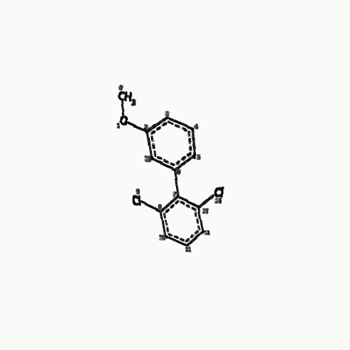 COc1cc[c]c(-c2c(Cl)cccc2Cl)c1